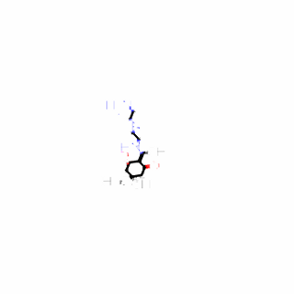 CC(NCCNCCN)=C1C(=O)CC(C)(C)CC1=O